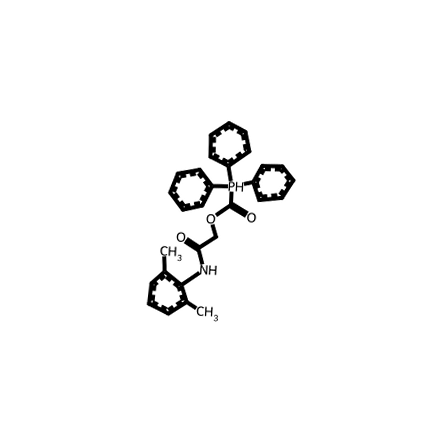 Cc1cccc(C)c1NC(=O)COC(=O)[PH](c1ccccc1)(c1ccccc1)c1ccccc1